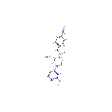 CSc1nccc(N2CCC(N(C)Cc3ccc(C#N)cc3)CC2)n1.Cl